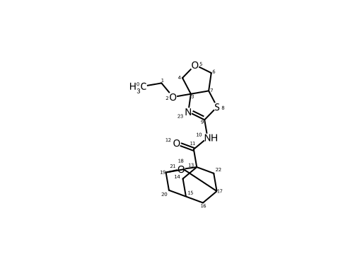 CCOC12COCC1SC(NC(=O)C13CC4CC(CC(C4)O1)C3)=N2